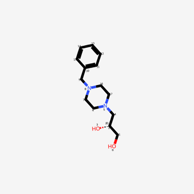 OC[C@H](O)CN1CCN(Cc2ccccc2)CC1